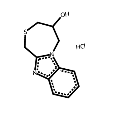 Cl.OC1CSCc2nc3ccccc3n2C1